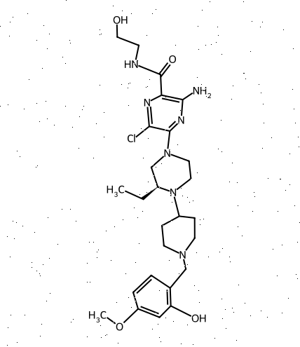 CC[C@H]1CN(c2nc(N)c(C(=O)NCCO)nc2Cl)CCN1C1CCN(Cc2ccc(OC)cc2O)CC1